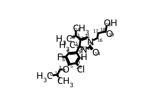 CC(C)COc1c(F)cc([C@]2(C)NC(=O)N(CCC(=O)O)C=C2C(C)C)cc1Cl